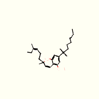 CCCCCCC(C)(C)c1cc(O)c2c(c1)OC(C)(CC/C=C(/C)CC)C=C2